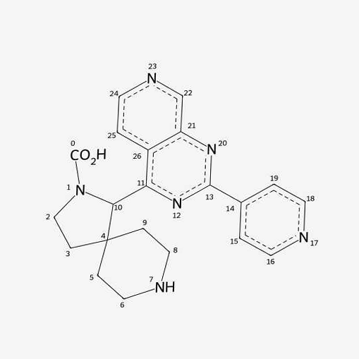 O=C(O)N1CCC2(CCNCC2)C1c1nc(-c2ccncc2)nc2cnccc12